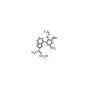 CCOC(=O)C=C(C)c1cc2c(-c3cc(C)cc(C(C)(C)C)c3OCC(F)(F)F)cccc2s1